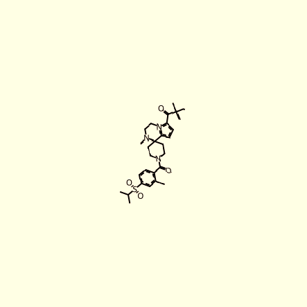 Cc1cc(S(=O)(=O)C(C)C)ccc1C(=O)N1CCC2(CC1)c1ccc(C(=O)C(C)(C)C)n1CCN2C